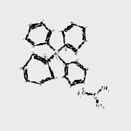 C[PH+](C)C.c1cc[c]([Al-]([c]2ccccc2)([c]2ccccc2)[c]2ccccc2)cc1